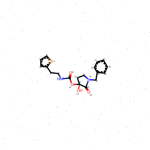 O=C(NCCc1cccs1)O[C@]1(O)CCN(Cc2ccccc2)C1=O